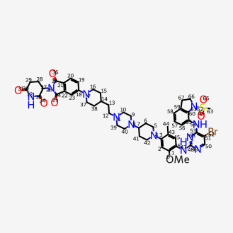 COc1cc(N2CCC(N3CCN(CCC4CCN(c5ccc6c(c5)C(=O)N(C5CCC(=O)NC5=O)C6=O)CC4)CC3)CC2)c(C)cc1Nc1ncc(Br)c(Nc2cccc3c2N(S(C)(=O)=O)CC3)n1